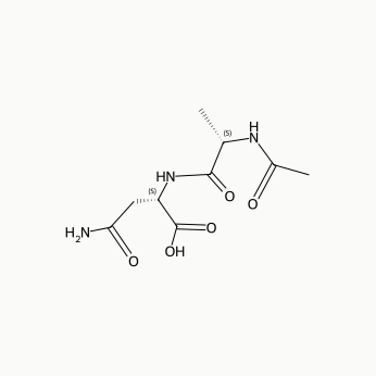 CC(=O)N[C@@H](C)C(=O)N[C@@H](CC(N)=O)C(=O)O